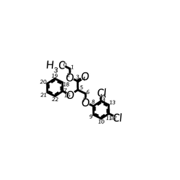 CCOC(=O)C(COc1ccc(Cl)cc1Cl)Oc1ccccc1